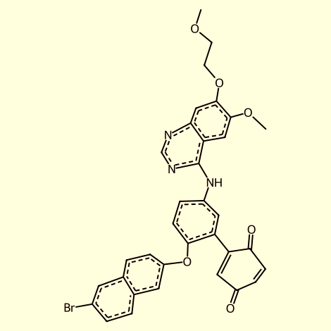 COCCOc1cc2ncnc(Nc3ccc(Oc4ccc5cc(Br)ccc5c4)c(C4=CC(=O)C=CC4=O)c3)c2cc1OC